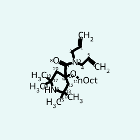 C=CCN(CC=C)C(=O)C1(OCCCCCCCC)CC(C)(C)NC(C)(C)C1